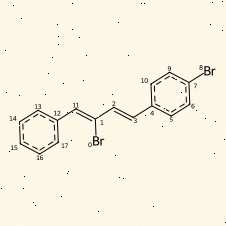 BrC(C=Cc1ccc(Br)cc1)=Cc1ccccc1